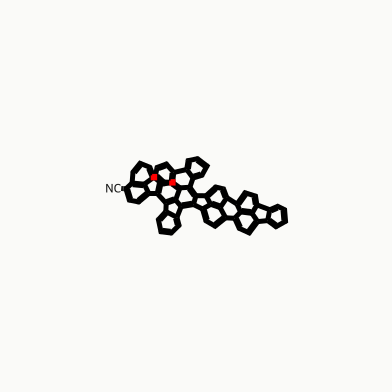 N#Cc1ccc2c3c1cccc3c1cc3c(-c4ccccc4-c4ccccc4)c4c5ccc6c7ccc8c9c(ccc(c%10ccc(c5c6%10)c4c4c5ccccc5c(c12)c34)c97)-c1ccccc1-8